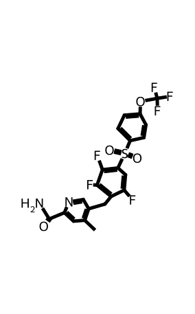 Cc1cc(C(N)=O)ncc1Cc1c(F)cc(S(=O)(=O)c2ccc(OC(F)(F)F)cc2)c(F)c1F